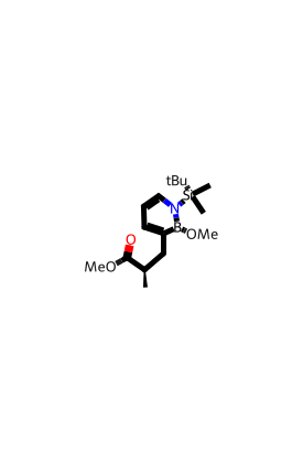 COB1C(C[C@@H](C)C(=O)OC)=CC=CN1[Si](C)(C)C(C)(C)C